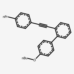 CCCCOc1ccc(-c2ccccc2C#Cc2ccc(CCC)cc2)cc1